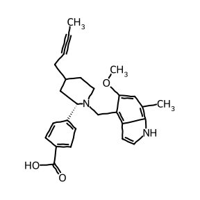 CC#CCC1CCN(Cc2c(OC)cc(C)c3[nH]ccc23)[C@H](c2ccc(C(=O)O)cc2)C1